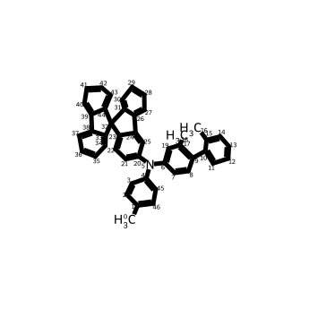 Cc1ccc(N(c2ccc(-c3ccccc3C)c(C)c2)c2ccc3c(c2)-c2ccccc2C32c3ccccc3-c3ccccc32)cc1